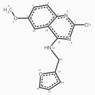 COc1ccc2nc(Cl)nc(NCc3ccco3)c2c1